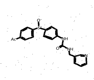 CC(=O)c1ccc([S+]([O-])c2ccc(NC(=O)NCc3cccnc3)cc2)cc1